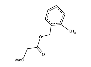 COCC(=O)OCc1ccccc1C